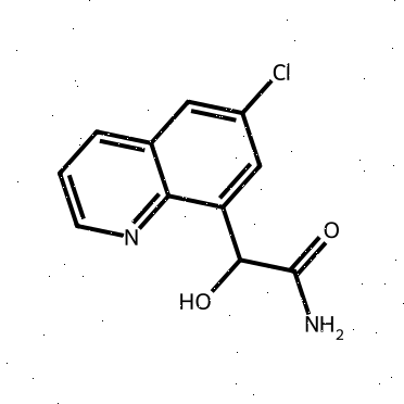 NC(=O)C(O)c1cc(Cl)cc2cccnc12